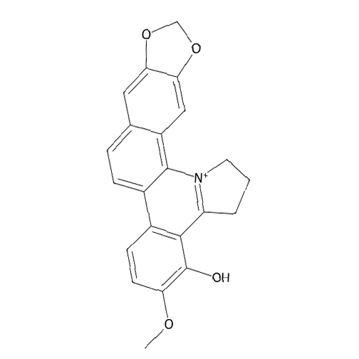 COc1ccc2c(c1O)c1[n+](c3c4cc5c(cc4ccc23)OCO5)CCC1